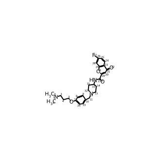 CN(C)CCCOc1ccc(CN2CCC(NC(=O)c3cc(=O)c4ccc(F)cc4o3)CC2)cc1